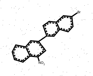 O=[N+]([O-])c1cc(-c2ccc3cc(Br)ccc3c2)[c]c2ccccc12